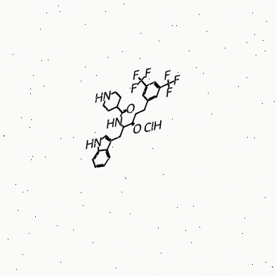 Cl.O=C(NC(Cc1c[nH]c2ccccc12)C(=O)CCc1cc(C(F)(F)F)cc(C(F)(F)F)c1)C1CCNCC1